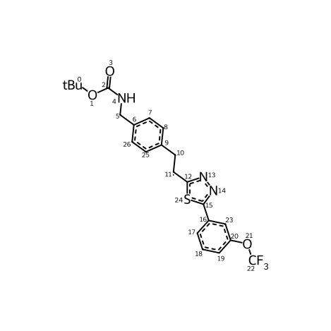 CC(C)(C)OC(=O)NCc1ccc(C[CH]c2nnc(-c3cccc(OC(F)(F)F)c3)s2)cc1